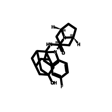 O=C(NC1C2CC3CC1CC(O)(C3)C2)N1[C@@H]2CC[C@H]1C[C@H](N1CCc3cc(F)ccc31)C2